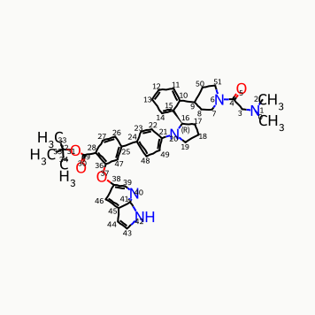 CN(C)CC(=O)N1CCC(c2ccccc2[C@H]2CCCN2c2ccc(-c3ccc(C(=O)OC(C)(C)C)c(Oc4cnc5[nH]ccc5c4)c3)cc2)CC1